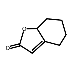 O=C1C=C2CCCCC2O1